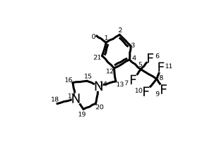 Cc1ccc(C(F)(F)C(F)(F)F)c(CN2CCN(C)CC2)c1